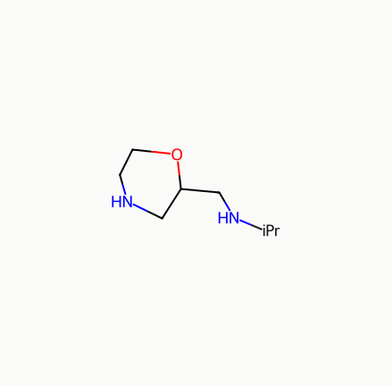 CC(C)NCC1CNCCO1